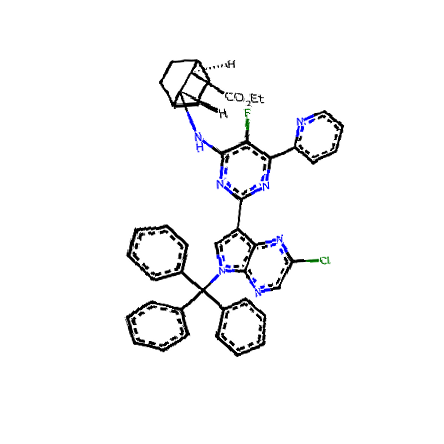 CCOC(=O)[C@@H]1C2CCC(CC2)[C@H]1Nc1nc(-c2cn(C(c3ccccc3)(c3ccccc3)c3ccccc3)c3ncc(Cl)nc23)nc(-c2ccccn2)c1F